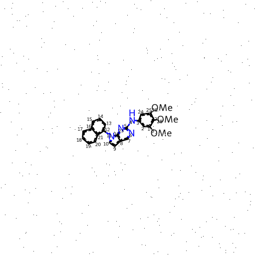 COc1cc(Nc2ncc3ccn(-c4cccc5ccccc45)c3n2)cc(OC)c1OC